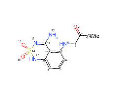 CNC(=O)CNc1cccc2c1C(N)=NS(=O)(=O)N2